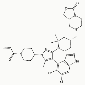 C=CC(=O)N1CCC(n2nc(N3CC[C@@H](CN4CCN5C(=O)OCC5C4)CC3(C)C)c(-c3c(Cl)c(Cl)cc4[nH]ncc34)c2C)CC1